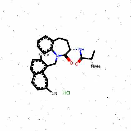 CN[C@@H](C)C(=O)N[C@H]1CCc2ccccc2N(Cc2c(OC)ccc3ccc(C#N)cc23)C1=O.Cl